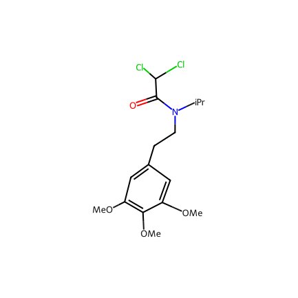 COc1cc(CCN(C(=O)C(Cl)Cl)C(C)C)cc(OC)c1OC